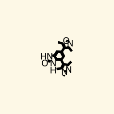 Cc1noc(C)c1-c1cc(-c2c(C)nn(C)c2C)c2[nH]c(=O)[nH]c2c1